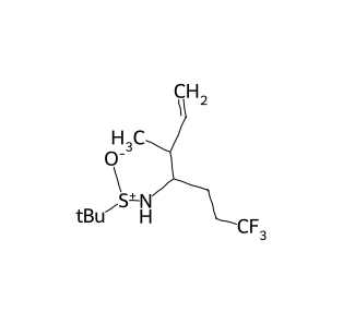 C=CC(C)C(CCC(F)(F)F)N[S+]([O-])C(C)(C)C